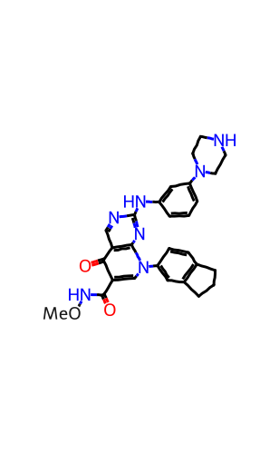 CONC(=O)c1cn(-c2ccc3c(c2)CCC3)c2nc(Nc3cccc(N4CCNCC4)c3)ncc2c1=O